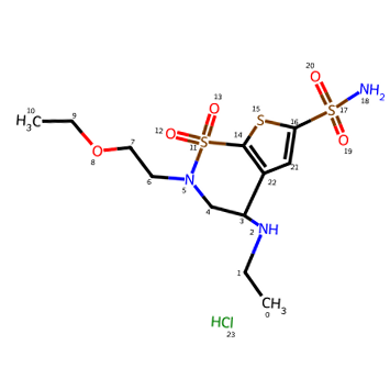 CCNC1CN(CCOCC)S(=O)(=O)c2sc(S(N)(=O)=O)cc21.Cl